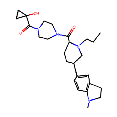 CCCN1CC(c2ccc3c(c2)CCN3C)CCC1C(=O)N1CCN(C(=O)C2(O)CC2)CC1